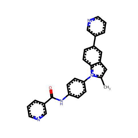 Cc1cc2cc(-c3cccnc3)ccc2n1-c1ccc(NC(=O)c2cccnc2)cc1